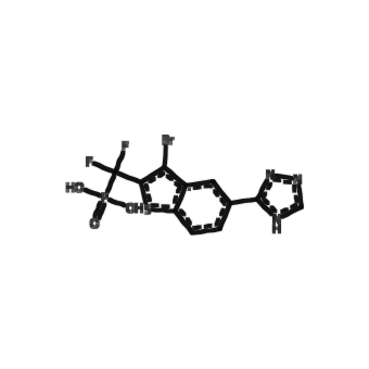 O=P(O)(O)C(F)(F)c1sc2ccc(-c3nnc[nH]3)cc2c1Br